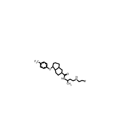 CC(CCNCCF)NC(=O)C1CCC2C(CCCC2Oc2ccc(C(F)(F)F)cc2)C1